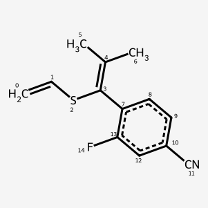 C=CSC(=C(C)C)c1ccc(C#N)cc1F